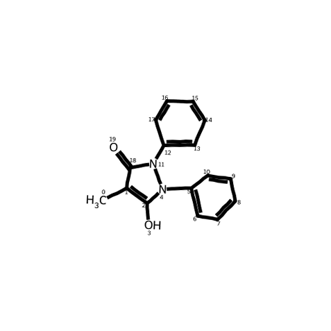 Cc1c(O)n(-c2ccccc2)n(-c2ccccc2)c1=O